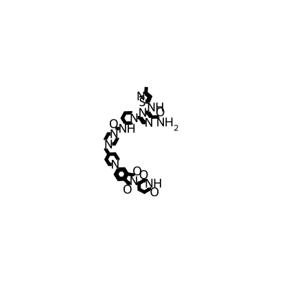 Cc1cc(Nc2nc(N3CCCC(NC(=O)N4CCN(CC5CCN(c6ccc7c(c6)C(=O)N(C6CCC(=O)NC6=O)C7=O)CC5)CC4)C3)cnc2C(N)=O)sn1